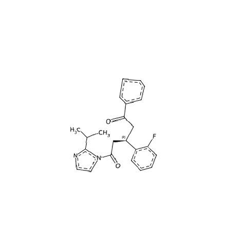 CC(C)c1nccn1C(=O)C[C@@H](CC(=O)c1ccccc1)c1ccccc1F